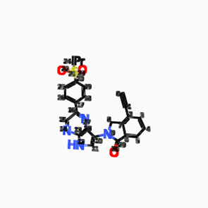 C#Cc1cccc2c1CN(c1c[nH]c3ncc(-c4ccc(S(=O)(=O)C(C)C)cc4)nc13)C2=O